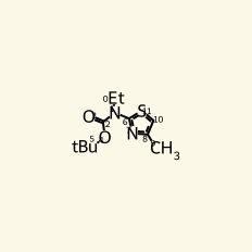 CCN(C(=O)OC(C)(C)C)c1nc(C)cs1